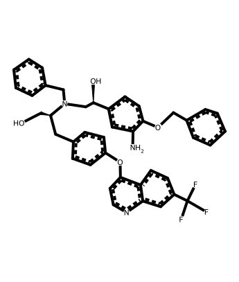 Nc1cc([C@H](O)CN(Cc2ccccc2)[C@H](CO)Cc2ccc(Oc3ccnc4cc(C(F)(F)F)ccc34)cc2)ccc1OCc1ccccc1